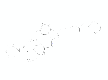 COc1cc(/C=C2/C(C)=C(CNCC(=O)Cc3cccnc3)c3cc(F)ccc32)cc(OC)c1OC(=O)N1CCOCC1